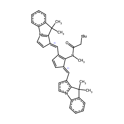 CN(C(=O)CC(C)(C)C)C1=C(/C=C2\C=C[N+]3=C2C(C)(C)c2ccccc23)C=C/C1=C\c1ccn2c1C(C)(C)c1ccccc1-2